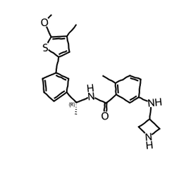 COc1sc(-c2cccc([C@@H](C)NC(=O)c3cc(NC4CNC4)ccc3C)c2)cc1C